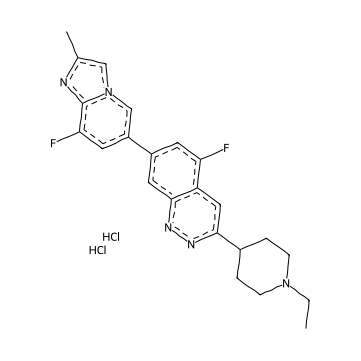 CCN1CCC(c2cc3c(F)cc(-c4cc(F)c5nc(C)cn5c4)cc3nn2)CC1.Cl.Cl